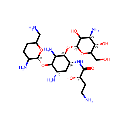 NCC[C@H](O)C(=O)N[C@@H]1C[C@H](N)C(O[C@H]2OC(CN)CCC2N)C(N)[C@H]1O[C@H]1OC(CO)[C@@H](O)[C@H](N)C1O